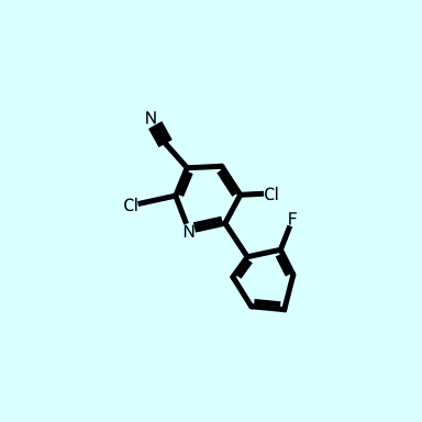 N#Cc1cc(Cl)c(-c2ccccc2F)nc1Cl